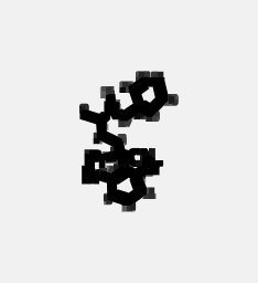 CC(CCC(C#N)(c1c(Br)cccc1Br)C(C)C)N(C)Cc1ccccc1